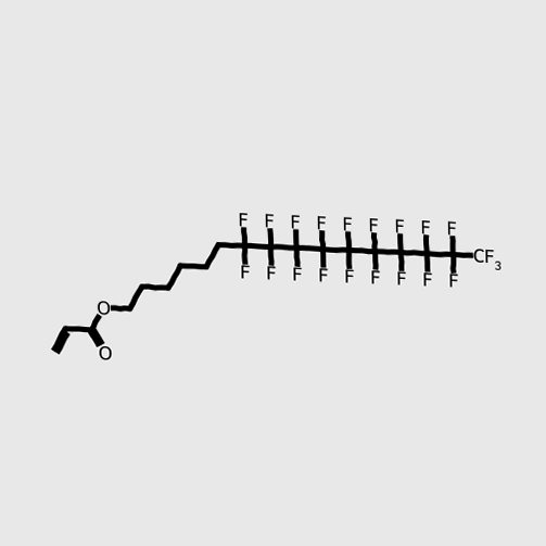 C=CC(=O)OCCCCCCC(F)(F)C(F)(F)C(F)(F)C(F)(F)C(F)(F)C(F)(F)C(F)(F)C(F)(F)C(F)(F)C(F)(F)F